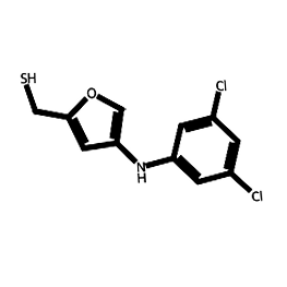 SCc1cc(Nc2cc(Cl)cc(Cl)c2)[c]o1